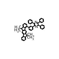 CC1(C)c2ccccc2-c2cc3c(cc21)-c1c(-c2cccc(-c4nc(-c5ccccc5)c(-c5ccccc5)nc4-c4ccccc4)c2)cccc1C3(C)C